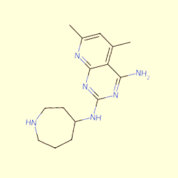 Cc1cc(C)c2c(N)nc(NC3CCCNCC3)nc2n1